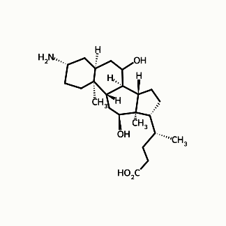 C[C@H](CCC(=O)O)[C@H]1CC[C@H]2[C@@H]3C(O)C[C@@H]4C[C@@H](N)CC[C@]4(C)[C@H]3C[C@H](O)[C@]12C